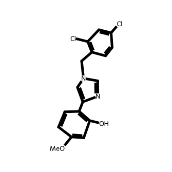 COc1ccc(-c2cn(Cc3ccc(Cl)cc3Cl)cn2)c(O)c1